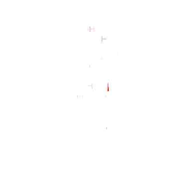 COC(C)C(=O)O[C@@H]1CO[C@H]2[C@@H]1OC[C@@H]2O